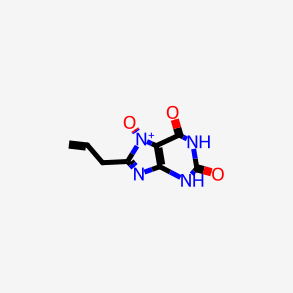 C=CCC1=Nc2[nH]c(=O)[nH]c(=O)c2[N+]1=O